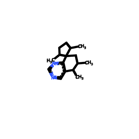 CC1CC2(c3ncncc3C1C)C(C)CCC2C